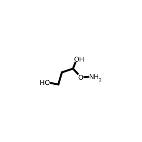 NOC(O)CCO